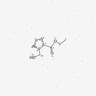 CCOC(=O)c1scnc1CO